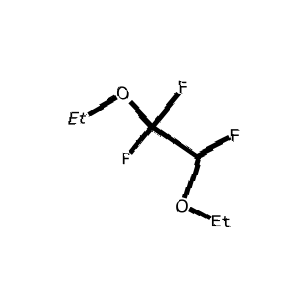 CCOC(F)C(F)(F)OCC